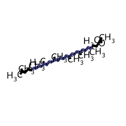 CC(C)=CCC/C(C)=C/C=C/C(C)=C/C=C/C(C)=C/C=C/C=C(C)/C=C/C=C(C)/C=C/C=C(\C)CCC1OC1(C)C